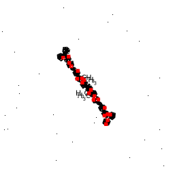 CC1(C)c2cc(-c3ccc(/C=C/c4ccc(-c5ccc6c(c5)c5ccccc5n6-c5ccccc5)cc4)cc3)ccc2-c2ccc(-c3ccc4c(c3)C(C)(C)c3cc(-c5ccc(/C=C/c6ccc(-c7ccc8c(c7)c7ccccc7n8-c7ccccc7)cc6)cc5)ccc3-4)cc21